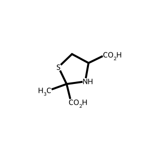 CC1(C(=O)O)NC(C(=O)O)CS1